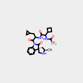 N#C[C@@H]1C[C@@]2(CN1)C(=O)N(C(=O)C(CC1CC1)NC(=O)C(NC(=O)C(F)(F)F)C1CCC1)c1ccccc12